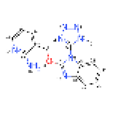 Cn1nnnc1-n1c(OCc2cccnc2N)nc2ccccc21